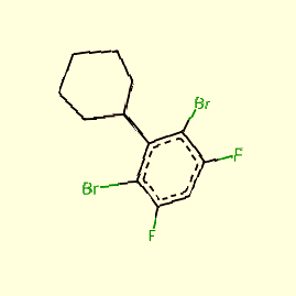 Fc1cc(F)c(Br)c(C2CCCCC2)c1Br